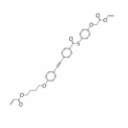 C=COC(=O)COc1ccc(SC(=O)c2ccc(C#Cc3ccc(OCCCCOC(=O)C=C)cc3)cc2)cc1